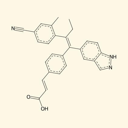 CC/C(=C(/c1ccc(/C=C/C(=O)O)cc1)c1ccc2[nH]ncc2c1)c1ccc(C#N)cc1C